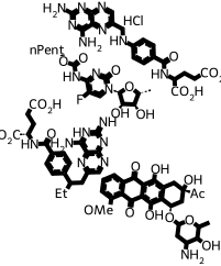 CCC(Cc1cnc2nc(=N)[nH]c(N)c2n1)c1ccc(C(=O)N[C@@H](CCC(=O)O)C(=O)O)cc1.CCCCCOC(=O)Nc1nc(=O)n([C@@H]2O[C@H](C)[C@@H](O)[C@H]2O)cc1F.COc1cccc2c1C(=O)c1c(O)c3c(c(O)c1C2=O)C[C@@](O)(C(C)=O)C[C@@H]3OC1CC(N)C(O)C(C)O1.Cl.Nc1nc(N)c2nc(CNc3ccc(C(=O)NC(CCC(=O)O)C(=O)O)cc3)cnc2n1